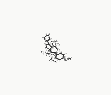 C[C@@]1([C@H]2CC[C@@]3(C)[C@@H](CC[C@@]3(O)c3ccccn3)[C@@H]2CN)CC[C@H](O)C[C@@H]1CO